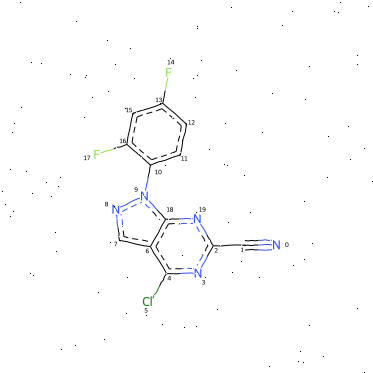 N#Cc1nc(Cl)c2cnn(-c3ccc(F)cc3F)c2n1